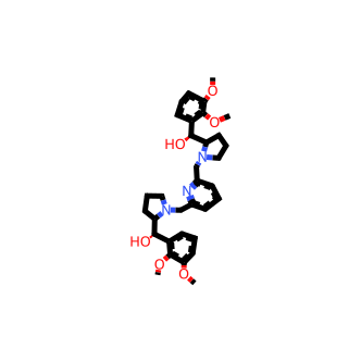 COc1cccc([C@H](O)C2CCCN2Cc2cccc(CN3CCCC3[C@@H](O)c3cccc(OC)c3OC)n2)c1OC